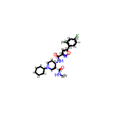 CC(C)NC(=O)[C@@H]1CN(C2CCCCC2)CC[C@H]1NC(=O)c1cc(-c2ccc(F)cc2F)on1